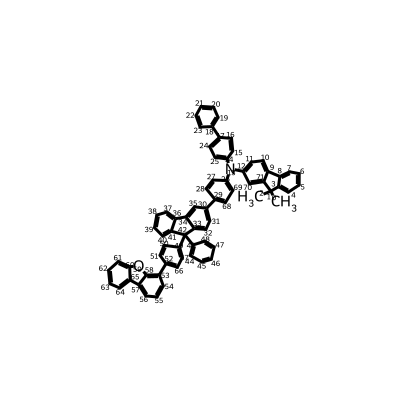 CC1(C)c2ccccc2-c2ccc(N(c3ccc(-c4ccccc4)cc3)c3ccc(-c4ccc5c(c4)-c4ccccc4C5(c4ccccc4)c4ccc(-c5cccc6c5oc5ccccc56)cc4)cc3)cc21